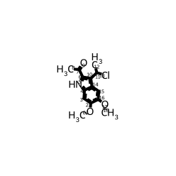 COc1cc2[nH]c(C(C)=O)c(C(C)Cl)c2cc1OC